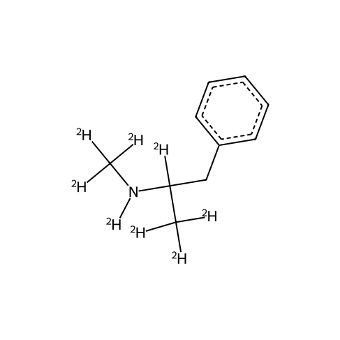 [2H]N(C([2H])([2H])[2H])C([2H])(Cc1ccccc1)C([2H])([2H])[2H]